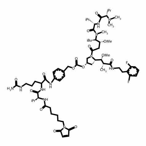 CC[C@H](C)C([C@@H](CC(=O)N1C[C@@H](OC(=O)OCc2ccc(NC(=O)C(CCCNC(N)=O)NC(=O)[C@@H](NC(=O)CCCCCN3C(=O)C=CC3=O)C(C)C)cc2)C[C@H]1[C@H](OC)[C@@H](C)C(=O)NCCc1c(F)cccc1F)OC)N(C)C(=O)[C@@H](NC(=O)[C@H](C(C)C)N(C)C)C(C)C